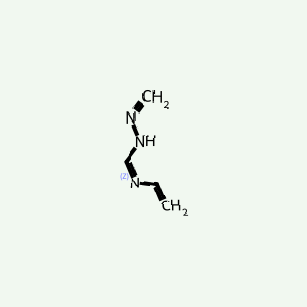 C=C/N=C\NN=C